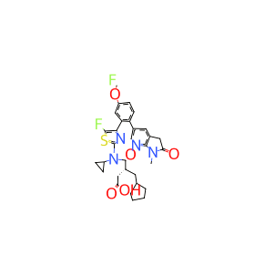 CN1C(=O)Cc2cc(-c3ccc(OCF)cc3-c3nc(N(C(=O)[C@@H](CC(=O)O)CC4CCCC4)C4CC4)sc3F)cnc21